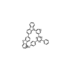 CC(C)(C)c1ccc(-c2nc(-c3ccccc3)nc(-c3cncc(-n4c5ccccc5c5ccc(-c6ccc7c(c6)sc6ccccc67)cc54)c3)n2)cc1